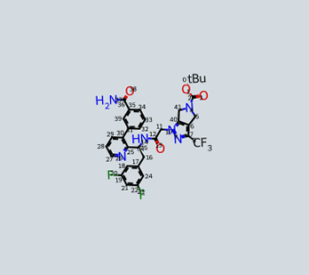 CC(C)(C)OC(=O)N1Cc2c(C(F)(F)F)nn(CC(=O)N[C@@H](Cc3cc(F)cc(F)c3)c3ncccc3-c3cccc(C(N)=O)c3)c2C1